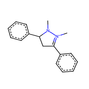 CN1C(c2ccccc2)CC(c2ccccc2)=[N+]1C